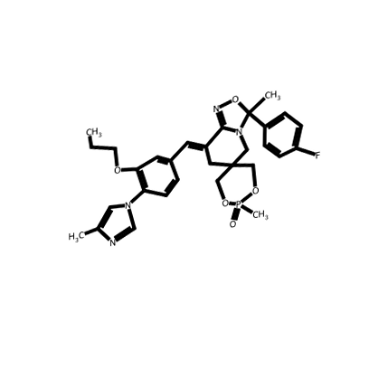 CCCOc1cc(/C=C2\CC3(COP(C)(=O)OC3)CN3C2=NOC3(C)c2ccc(F)cc2)ccc1-n1cnc(C)c1